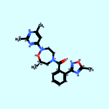 Cc1cc(N2CCN(C(=O)c3ccccc3-c3noc(C)n3)C[C@H](C)O2)nc(C)n1